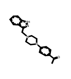 CC(=O)c1ccc(N2CCN(Cc3n[nH]c4ccccc34)CC2)cc1